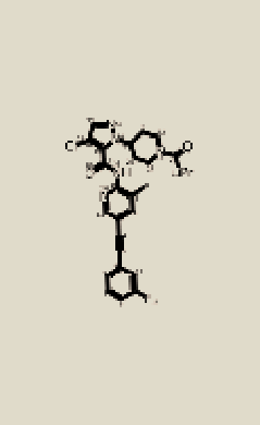 Cc1cc(C#Cc2cccc(F)c2)cnc1NC(=O)c1c(Cl)cnn1C1CCN(C(=O)C(C)C)CC1